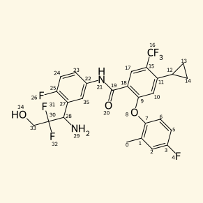 Cc1cc(F)ccc1Oc1cc(C2CC2)c(C(F)(F)F)cc1C(=O)Nc1ccc(F)c(C(N)C(F)(F)CO)c1